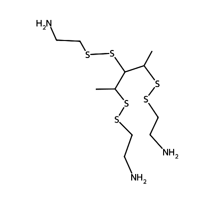 CC(SSCCN)C(SSCCN)C(C)SSCCN